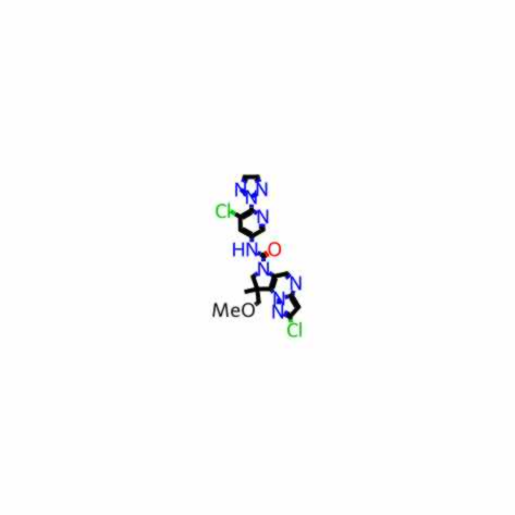 COCC1(C)CN(C(=O)Nc2cnc(-n3nccn3)c(Cl)c2)c2cnc3cc(Cl)nn3c21